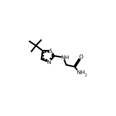 CC(C)(C)c1cnc(NCC(N)=O)s1